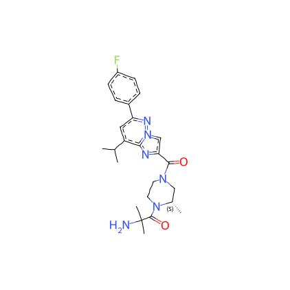 CC(C)c1cc(-c2ccc(F)cc2)nn2cc(C(=O)N3CCN(C(=O)C(C)(C)N)[C@@H](C)C3)nc12